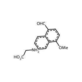 COc1ccc(C=O)c2ccccc12.NCC(=O)O